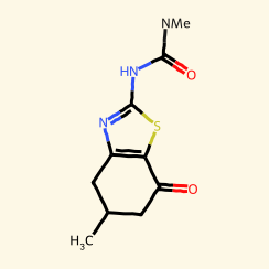 CNC(=O)Nc1nc2c(s1)C(=O)CC(C)C2